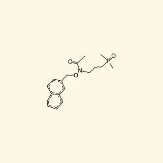 CC(=O)N(CCCP(C)(C)=O)OCc1ccc2ccccc2c1